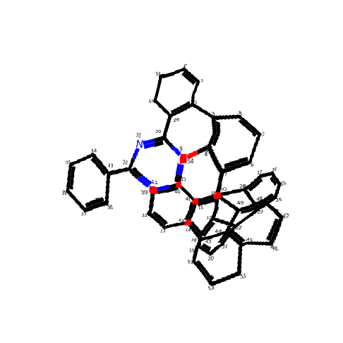 C1=CC(c2cccc3c2Oc2ccccc2C32c3ccccc3-c3ccccc32)=C(c2nc(-c3ccccc3)nc(-c3cc4c5c(cccc5c3)CC=C4)n2)CC1